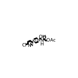 CC(=O)OCC(=O)NC(O)N1CCN(c2ccc(Cl)nn2)CC1